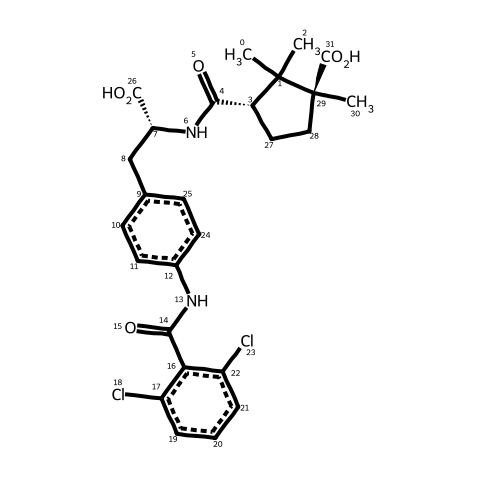 CC1(C)[C@@H](C(=O)N[C@H](Cc2ccc(NC(=O)c3c(Cl)cccc3Cl)cc2)C(=O)O)CC[C@]1(C)C(=O)O